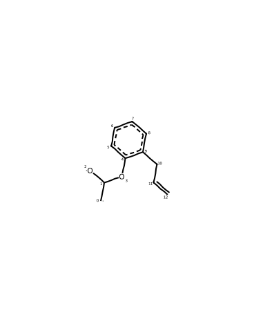 [CH2]C([O])Oc1ccccc1CC=C